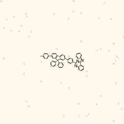 Cc1ccc(-c2ccc3c(c2)C(c2ccccc2)(c2ccccc2)c2cc(-c4ccc(-c5nc6ccccc6c6nc7ccccc7n56)cc4)ccc2-3)cc1